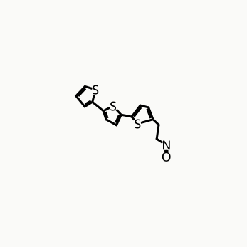 O=NCCc1ccc(-c2ccc(-c3cccs3)s2)s1